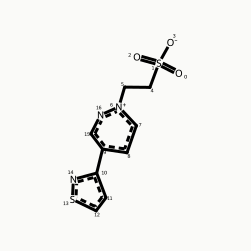 O=S(=O)([O-])CC[n+]1ccc(-c2ccsn2)cn1